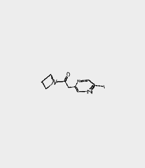 O=C(Cc1cnc(I)cn1)N1CCC1